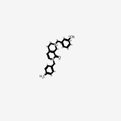 Cc1ccc(Cn2ccc3c(c2=O)CN(Cc2cccc(C#N)c2)CC3)cc1